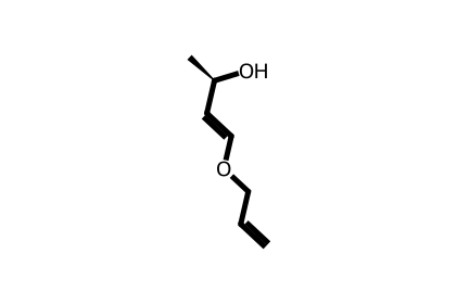 C=CCOC=C[C@@H](C)O